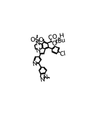 Cc1c([C@H](OC(C)(C)C)C(=O)O)c(-c2ccc(Cl)cc2)c2cc(-c3ccnc(-c4ccc5c(cnn5C)c4)c3)n3c2c1N(S(C)(=O)=O)CC3